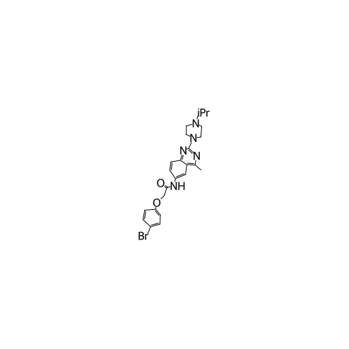 Cc1nc(N2CCN(C(C)C)CC2)nc2ccc(NC(=O)COc3ccc(Br)cc3)cc12